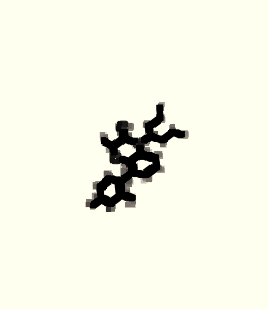 CCCC(CCC)N1C(=O)C(C)Oc2c(-c3ccc(C)cc3C)cccc21